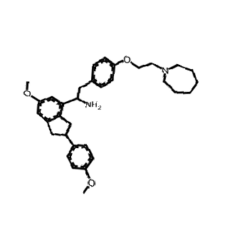 COc1ccc(C2Cc3cc(OC)cc(C(N)Cc4ccc(OCCN5CCCCCC5)cc4)c3C2)cc1